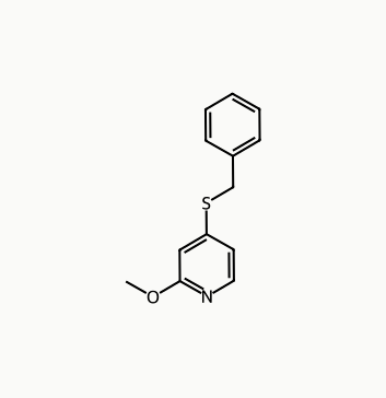 COc1cc(SCc2ccccc2)ccn1